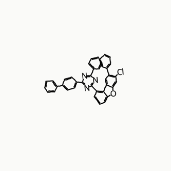 Clc1cc2oc3cccc(-c4nc(-c5ccccc5)nc(-c5ccc(-c6ccccc6)cc5)n4)c3c2cc1-c1ccccc1